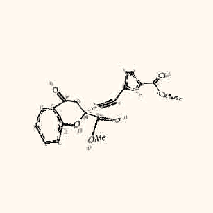 COC(=O)c1ccc(C#C[C@@]2(C(=O)OC)CC(=O)c3ccccc3O2)o1